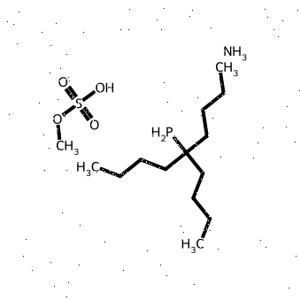 CCCCC(P)(CCCC)CCCC.COS(=O)(=O)O.N